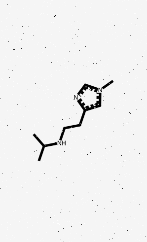 CC(C)NCCc1cn(C)cn1